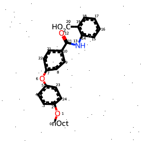 CCCCCCCCOc1ccc(Oc2ccc(C(=O)Nc3ccccc3C(=O)O)cc2)cc1